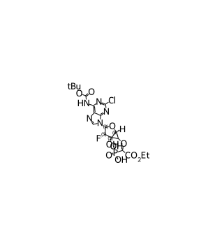 CCOC(=O)C(OC1[C@H]2O[C@@H](n3cnc4c(NC(=O)OC(C)(C)C)nc(Cl)nc43)[C@@H](F)[C@@]12O)P(=O)(O)O